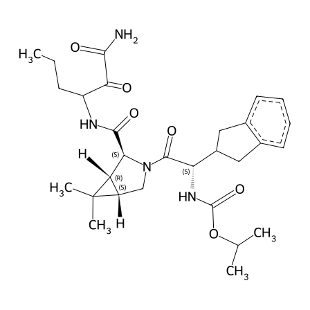 CCCC(NC(=O)[C@@H]1[C@@H]2[C@H](CN1C(=O)[C@@H](NC(=O)OC(C)C)C1Cc3ccccc3C1)C2(C)C)C(=O)C(N)=O